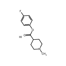 CN1CCC(C(=O)Oc2ccc(F)cc2)CC1.I